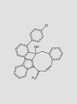 C=C1/C=C\c2ccccc2CC(O)(c2ccccc2-c2ccc(Cl)cc2)c2nc3ccccc3n21